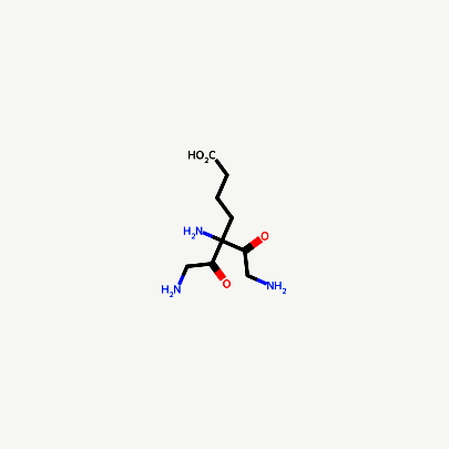 NCC(=O)C(N)(CCCC(=O)O)C(=O)CN